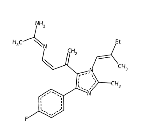 C=C(/C=C\N=C(/C)N)c1c(-c2ccc(F)cc2)nc(C)n1/C=C(\C)CC